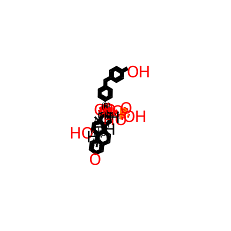 C[C@]12C=CC(=O)C=C1CC[C@@H]1[C@@H]2[C@@H](O)C[C@@]2(C)[C@H]1C[C@H]1O[C@@H](c3ccc(Cc4ccc(CO)cc4)cc3)O[C@]12C(=O)COP(=O)(O)O